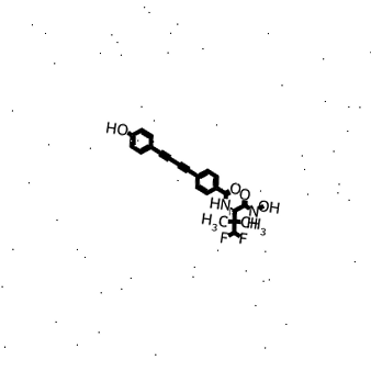 CC(C)(C(F)F)[C@H](NC(=O)c1ccc(C#CC#Cc2ccc(O)cc2)cc1)C(=O)NO